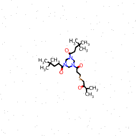 CC(C)C(=O)CSCCC(=O)N1CN(C(=O)CCC(C)(C)C)CN(C(=O)CCC(C)(C)C)C1